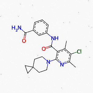 Cc1nc(N2CCC3(CC2)CC3)c(C(=O)Nc2cccc(C(N)=O)c2)c(C)c1Cl